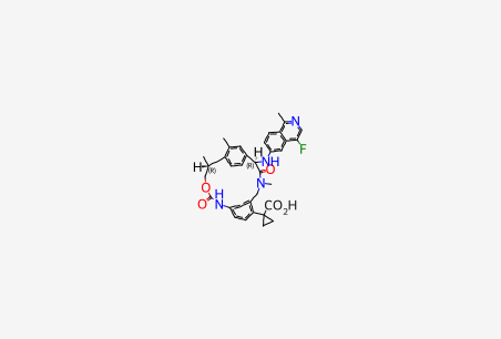 Cc1cc2ccc1[C@@H](C)COC(=O)Nc1ccc(C3(C(=O)O)CC3)c(c1)CN(C)C(=O)[C@@H]2Nc1ccc2c(C)ncc(F)c2c1